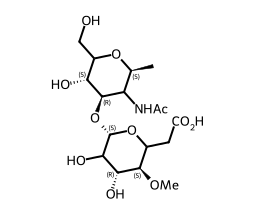 CO[C@@H]1C(CC(=O)O)O[C@@H](O[C@@H]2C(NC(C)=O)[C@H](C)OC(CO)[C@H]2O)C(O)[C@H]1O